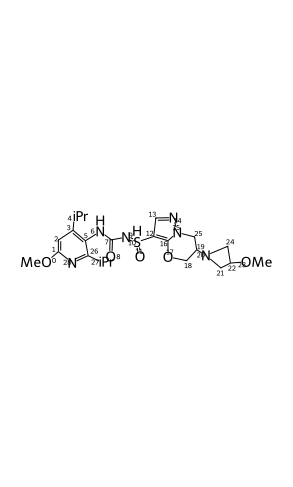 COc1cc(C(C)C)c(NC(=O)N=[SH](=O)c2cnn3c2OCC(N2CC(OC)C2)C3)c(C(C)C)n1